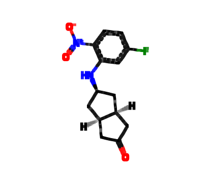 O=C1C[C@@H]2C[C@H](Nc3cc(F)ccc3[N+](=O)[O-])C[C@@H]2C1